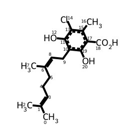 CC(C)=CCCC(C)=CCc1c(O)c(Cl)c(C)c(C(=O)O)c1O